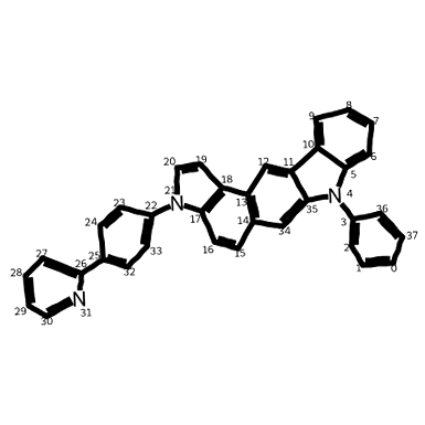 c1ccc(-n2c3ccccc3c3cc4c(ccc5c4ccn5-c4ccc(-c5ccccn5)cc4)cc32)cc1